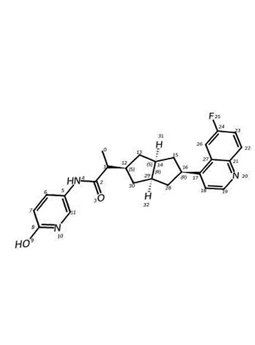 CC(C(=O)Nc1ccc(O)nc1)[C@H]1C[C@H]2C[C@@H](c3ccnc4ccc(F)cc34)C[C@H]2C1